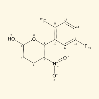 O=[N+]([O-])C1CCC(O)OC1c1cc(F)ccc1F